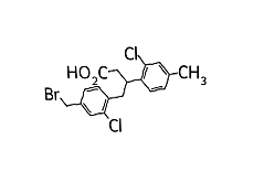 Cc1ccc(C(CC(=O)O)Cc2ccc(CBr)cc2Cl)c(Cl)c1